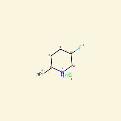 CCCC1CCC(F)CN1.Cl